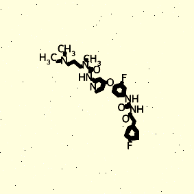 CCN(CC)CCCN(C)C(=O)Nc1cc(Oc2ccc(NC(=O)NC(=O)Cc3ccc(F)cc3)cc2F)ccn1